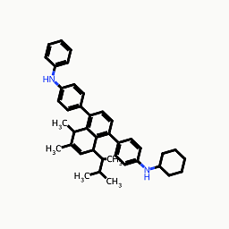 CC1=CC(C(C)C(C)C)c2c(-c3ccc(NC4CCCCC4)cc3)ccc(-c3ccc(Nc4ccccc4)cc3)c2C1C